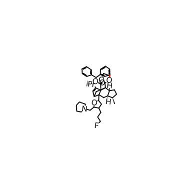 CC(C)C1=CC2CC3(C4OCCO4)[C@@H]4CC[C@@H](C)[C@H]4CC2(C2CC(CCCF)C(CN4CCCCC4)O2)C13C(=O)OC(c1ccccc1)c1ccccc1